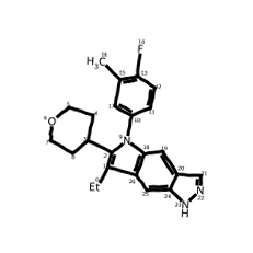 CCc1c(C2CCOCC2)n(-c2ccc(F)c(C)c2)c2cc3cn[nH]c3cc12